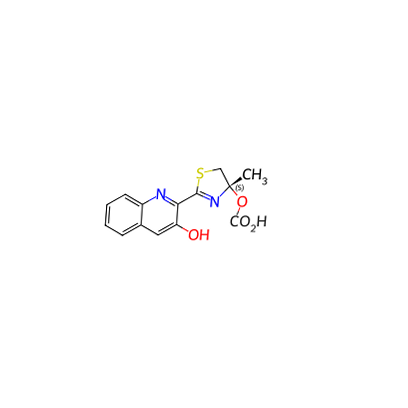 C[C@]1(OC(=O)O)CSC(c2nc3ccccc3cc2O)=N1